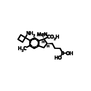 CN[C@@]1(C(=O)O)c2cc(C3(N)CCC3)c(C)cc2C[C@@H]1CCCB(O)O